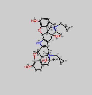 Oc1ccc2c3c1OC1c4[nH]c5c(c4C[C@@]4(O)[C@@H](C2)N(CC2CC2)CC[C@]314)C[C@@]1(O)[C@H]2Cc3ccc(O)c4c3[C@@]1(CCN2CC1CC1)[C@H]5O4